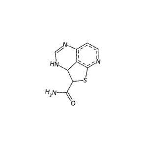 NC(=O)C1Sc2nccc3c2C1NC=N3